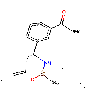 C=CC[C@@H](N[S+]([O-])C(C)(C)C)c1cccc(C(=O)OC)c1